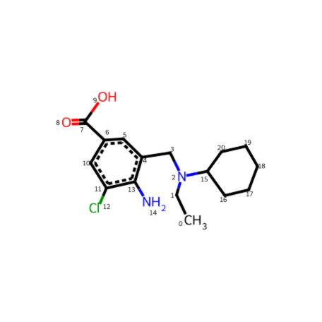 CCN(Cc1cc(C(=O)O)cc(Cl)c1N)C1CCCCC1